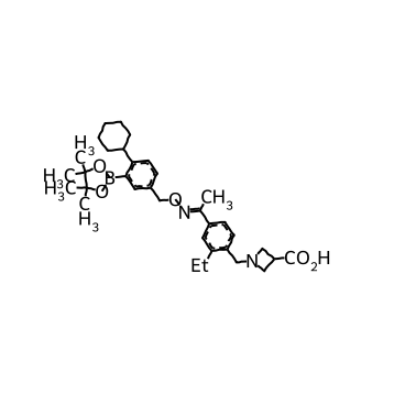 CCc1cc(C(C)=NOCc2ccc(C3CCCCC3)c(B3OC(C)(C)C(C)(C)O3)c2)ccc1CN1CC(C(=O)O)C1